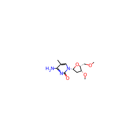 COC[C@H]1O[C@@H](n2cc(C)c(N)nc2=O)C[C@H]1OC